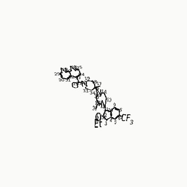 CCO[C@H]1Cc2cc(C(F)(F)F)ccc2C1N1CCN(C2(C)CCN(C(=O)c3ccnc4ncccc34)CC2)C[C@@H]1C